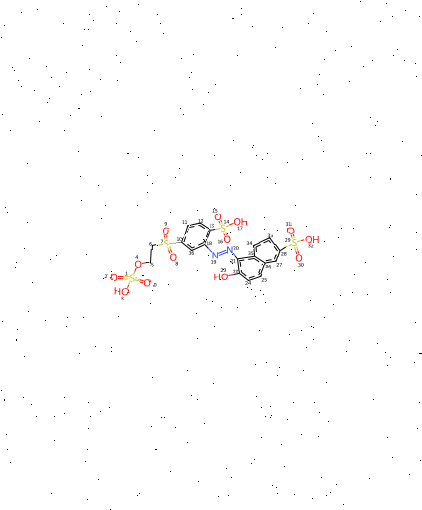 O=S(=O)(O)OCCS(=O)(=O)c1ccc(S(=O)(=O)O)c(N=Nc2c(O)ccc3cc(S(=O)(=O)O)ccc23)c1